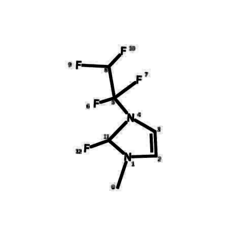 CN1C=CN(C(F)(F)C(F)F)C1F